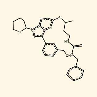 CC(CCNC(=O)OCc1ccccc1)Oc1ccc2c(n1)c(-c1cccc(CO)c1)nn2C1CCCCO1